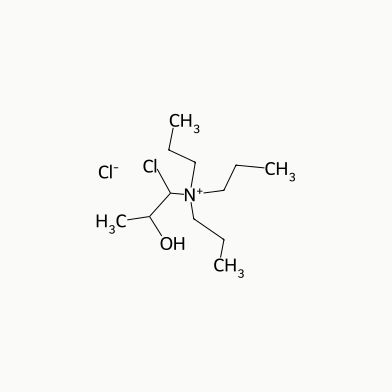 CCC[N+](CCC)(CCC)C(Cl)C(C)O.[Cl-]